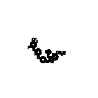 O=C(O)c1ccc2nc(CN3CCC(Oc4ccnc(Cc5ccc(C(F)(F)F)cc5F)n4)CC3)n(CC3CCO3)c2n1